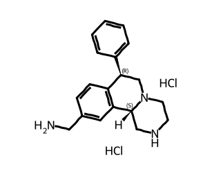 Cl.Cl.NCc1ccc2c(c1)[C@H]1CNCCN1C[C@@H]2c1ccccc1